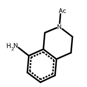 CC(=O)N1CCc2cccc(N)c2C1